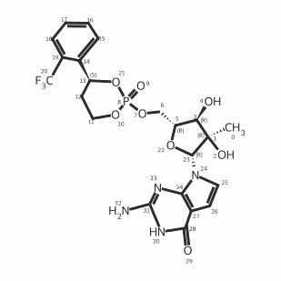 C[C@@]1(O)[C@H](O)[C@@H](COP2(=O)OCC[C@@H](c3ccccc3C(F)(F)F)O2)O[C@H]1n1ccc2c(=O)[nH]c(N)nc21